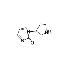 O=c1ncccn1[C@H]1CCNC1